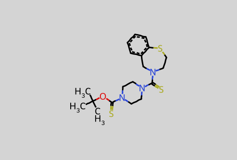 CC(C)(C)OC(=S)N1CCN(C(=S)N2CCSc3ccccc3C2)CC1